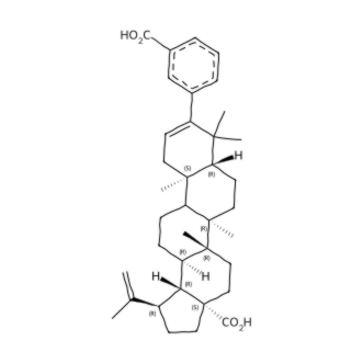 C=C(C)[C@@H]1CC[C@]2(C(=O)O)CC[C@]3(C)[C@H](CCC4[C@@]5(C)CC=C(c6cccc(C(=O)O)c6)C(C)(C)[C@@H]5CC[C@]43C)[C@@H]12